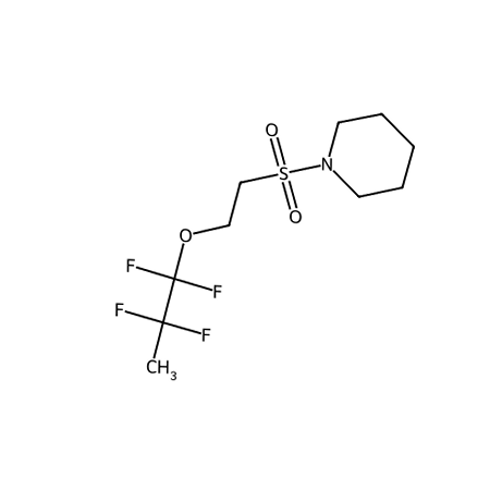 CC(F)(F)C(F)(F)OCCS(=O)(=O)N1CCCCC1